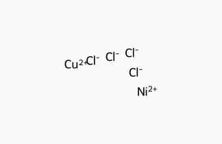 [Cl-].[Cl-].[Cl-].[Cl-].[Cu+2].[Ni+2]